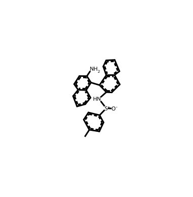 Cc1ccc([S+]([O-])Nc2ccc3ccccc3c2-c2c(N)ccc3ccccc23)cc1